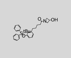 CC(C)(C)[Si](Oc1cccc(CCCCC(=O)N2CC(O)C2)c1)(c1ccccc1)c1ccccc1